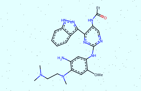 CCC(=O)Nc1cnc(Nc2cc(N)c(N(C)CCN(C)C)cc2OC)nc1-c1n[nH]c2ccccc12